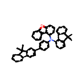 CC1(C)c2ccccc2-c2ccc(-c3ccc(N(c4cccc5c4-c4ccccc4C5(C)C)c4cccc5oc6ccccc6c45)cc3)cc21